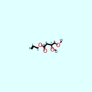 C=CCOC(=O)CC(COC)OC